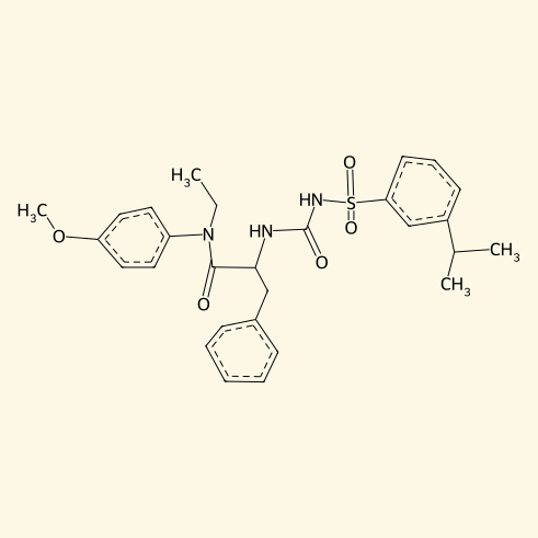 CCN(C(=O)C(Cc1ccccc1)NC(=O)NS(=O)(=O)c1cccc(C(C)C)c1)c1ccc(OC)cc1